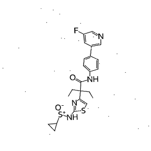 CCC(CC)(C(=O)Nc1ccc(-c2cncc(F)c2)cc1)c1csc(N[S+]([O-])C2CC2)n1